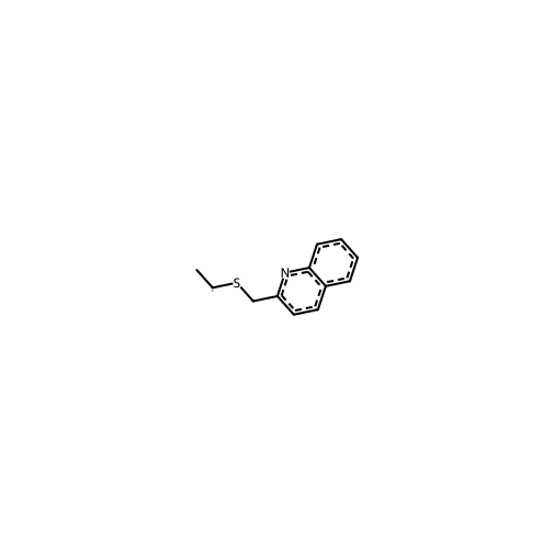 C[CH]SCc1ccc2ccccc2n1